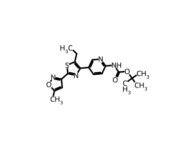 CCc1sc(-c2cc(C)on2)nc1-c1ccc(NC(=O)OC(C)(C)C)nc1